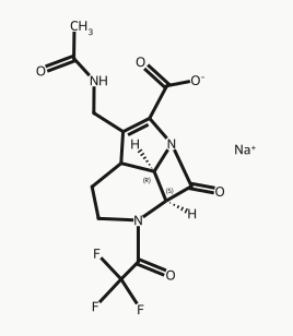 CC(=O)NCC1=C(C(=O)[O-])N2C(=O)[C@@H]3[C@H]2C1CCN3C(=O)C(F)(F)F.[Na+]